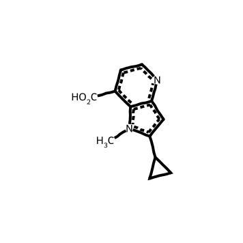 Cn1c(C2CC2)cc2nccc(C(=O)O)c21